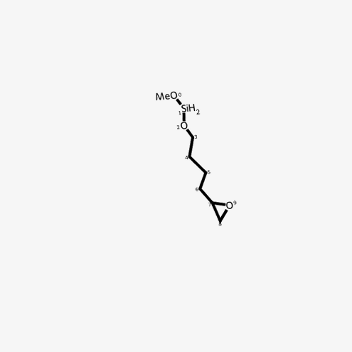 CO[SiH2]OCCCCC1CO1